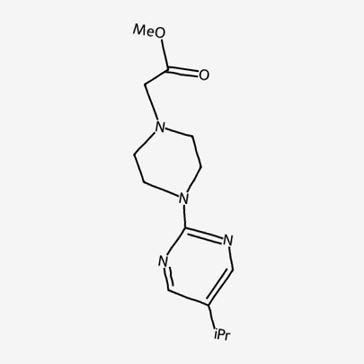 COC(=O)CN1CCN(c2ncc(C(C)C)cn2)CC1